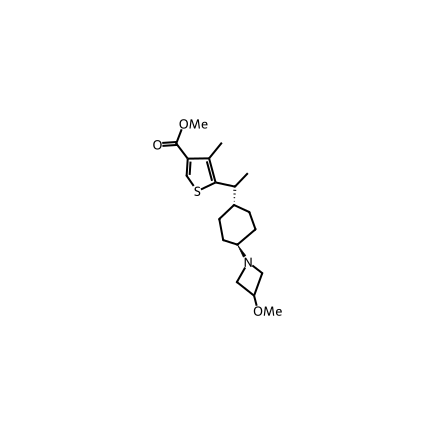 COC(=O)c1csc(C(C)[C@H]2CC[C@H](N3CC(OC)C3)CC2)c1C